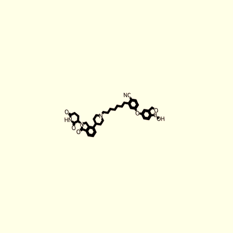 N#Cc1ccc(Oc2ccc3c(c2)COB3O)cc1CCCCCCCN1CCC(c2cccc3c2CN(C2CCC(=O)NC2=O)C3=O)CC1